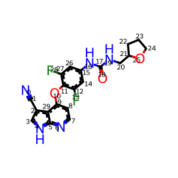 N#Cc1c[nH]c2nccc(Oc3c(F)cc(NC(=O)NCC4CCCO4)cc3F)c12